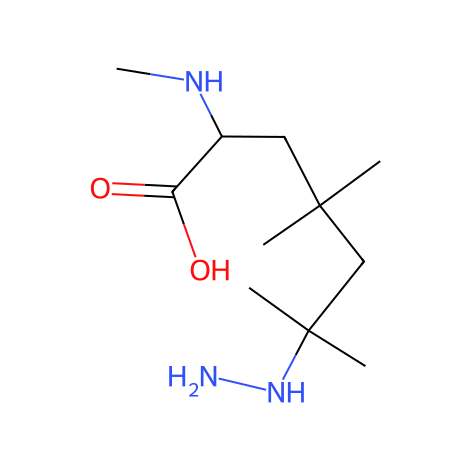 CNC(CC(C)(C)CC(C)(C)NN)C(=O)O